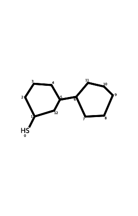 SC1CCCC(C2CCCCC2)C1